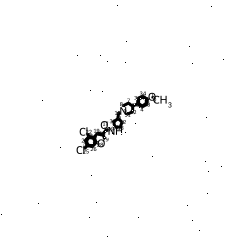 COc1ccc(C2CCN(CC3CCC(NC(=O)C4=Cc5c(Cl)cc(Cl)cc5OC4)C3)CC2)cc1